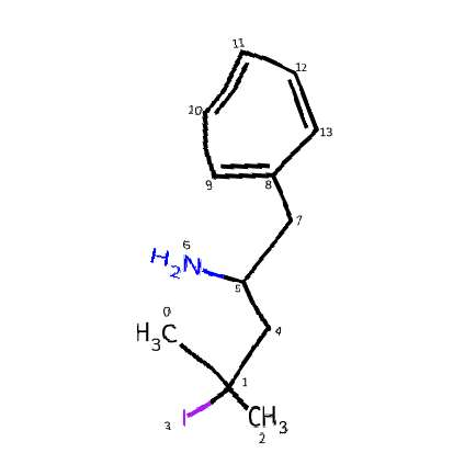 CC(C)(I)CC(N)Cc1ccccc1